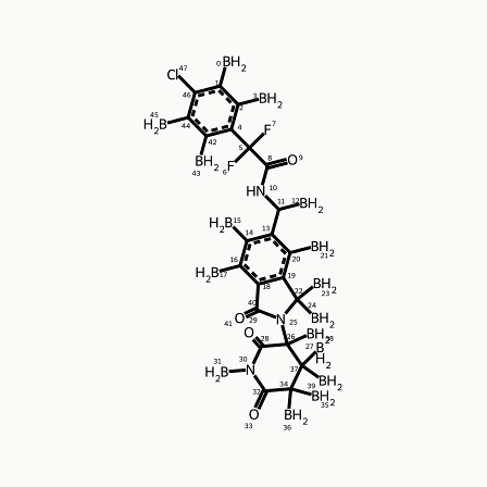 Bc1c(B)c(C(F)(F)C(=O)NC(B)c2c(B)c(B)c3c(c2B)C(B)(B)N(C2(B)C(=O)N(B)C(=O)C(B)(B)C2(B)B)C3=O)c(B)c(B)c1Cl